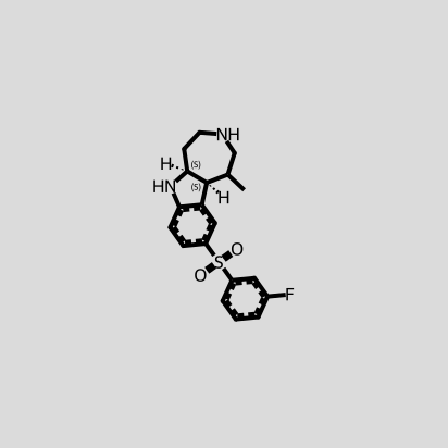 CC1CNCC[C@@H]2Nc3ccc(S(=O)(=O)c4cccc(F)c4)cc3[C@H]12